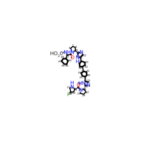 O=C(O)N[C@@H](C(=O)N1CCC[C@H]1c1ncc(-c2ccc(-c3ccc(-c4cnc([C@@H]5CCCN5C(=O)[C@H]5C[C@@H](F)CN5)[nH]4)cc3)cc2)[nH]1)c1ccccc1